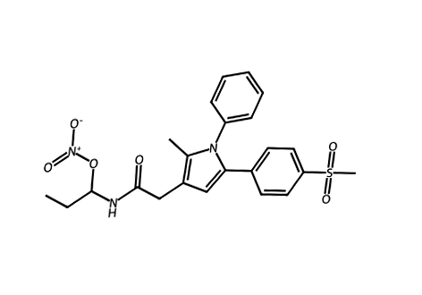 CCC(NC(=O)Cc1cc(-c2ccc(S(C)(=O)=O)cc2)n(-c2ccccc2)c1C)O[N+](=O)[O-]